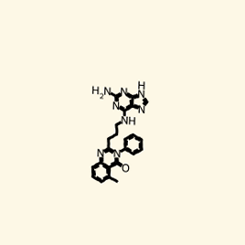 Cc1cccc2nc(CCCNc3nc(N)nc4[nH]cnc34)n(-c3ccccc3)c(=O)c12